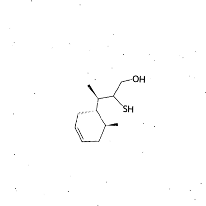 C[C@H]1CC=CC[C@@H]1[C@@H](C)C(S)CO